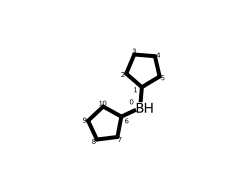 B(C1CCCC1)C1CCCC1